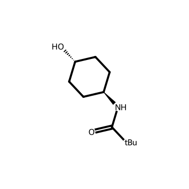 CC(C)(C)C(=O)N[C@H]1CC[C@H](O)CC1